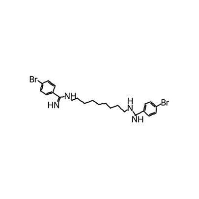 N=C(NCCCCCCCCCNC(=N)c1ccc(Br)cc1)c1ccc(Br)cc1